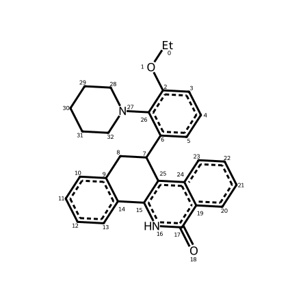 CCOc1cccc(C2Cc3ccccc3-c3[nH]c(=O)c4ccccc4c32)c1N1CCCCC1